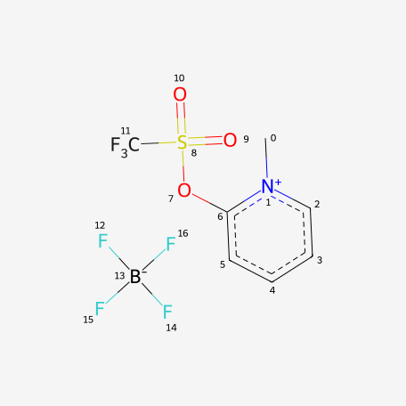 C[n+]1ccccc1OS(=O)(=O)C(F)(F)F.F[B-](F)(F)F